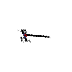 CCCCCCCCCCCCCCCCCCCCCCCCCCCCC(=O)OC(/C=C(\C)CCC=C(C)C)C/C=C(\C)CCC=C(C)C